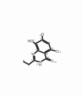 CCc1nc2c(O)c(Cl)cc(Cl)c2c(=O)[nH]1